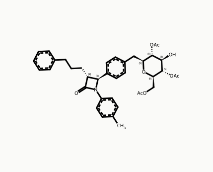 CC(=O)OC[C@H]1O[C@@H](Cc2ccc([C@@H]3[C@@H](CCCc4ccccc4)C(=O)N3c3ccc(C)cc3)cc2)[C@H](OC(C)=O)[C@@H](O)[C@@H]1OC(C)=O